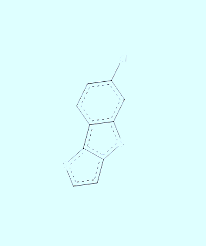 Clc1ccc2c(c1)sc1ccsc12